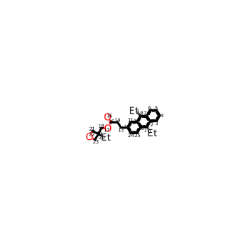 CCc1c2ccccc2c(CC)c2cc(CCC(=O)OCC3(CC)COC3)ccc12